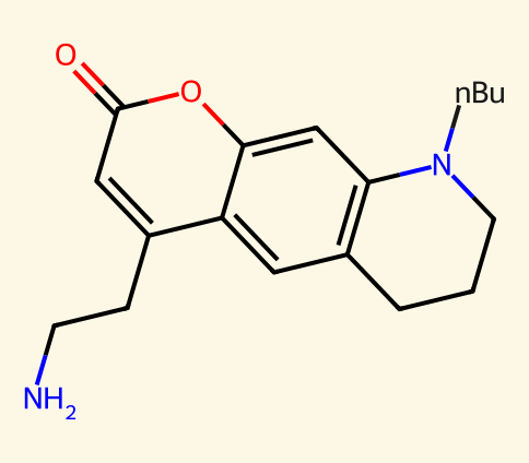 CCCCN1CCCc2cc3c(CCN)cc(=O)oc3cc21